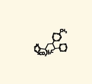 Cc1ccc(C(CC(C(=O)O)c2nccs2)C(C)c2ccccc2)cc1